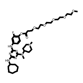 COCCOCCOCCOCCOCCC(=O)Oc1ccc(Nc2nc(NC3CCCCCC3)nc(N(C)C3CCN(C)CC3)n2)cc1F